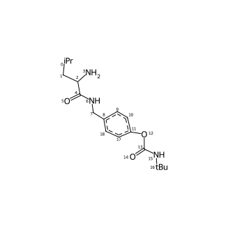 CC(C)CC(N)C(=O)NCc1ccc(OC(=O)NC(C)(C)C)cc1